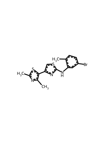 Cc1nc(C)c(-c2csc(Nc3cc(Br)ccc3C)n2)s1